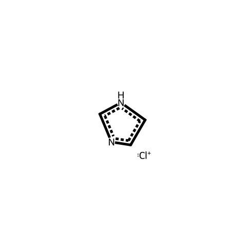 [Cl+].c1c[nH]cn1